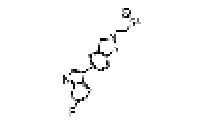 C[S+]([O-])CCN1Cc2cc(C3=CN=C4CC(F)=CC=C34)ccc2S1